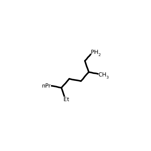 CCCC(CC)CCC(C)CP